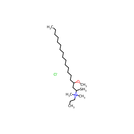 CCCCCCCCCCCCCCCC(CC([SiH3])[N+](C)(C)CCC)OC.[Cl-]